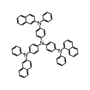 c1ccc(N(c2ccc(N(c3ccc(N(c4ccccc4)c4ccc5ccccc5c4)cc3)c3ccc(N(c4ccccc4)c4cccc5ccccc45)cc3)cc2)c2ccc3ccccc3c2)cc1